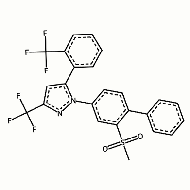 CS(=O)(=O)c1cc(-n2nc(C(F)(F)F)cc2-c2ccccc2C(F)(F)F)ccc1-c1ccccc1